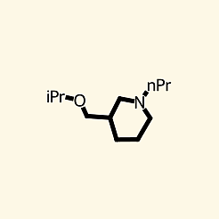 CCCN1CCCC(COC(C)C)C1